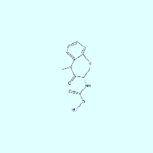 CN1C(=O)[C@@H](NC(=O)OC(C)(C)C)COc2ccccc21